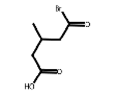 CC(CC(=O)O)CC(=O)Br